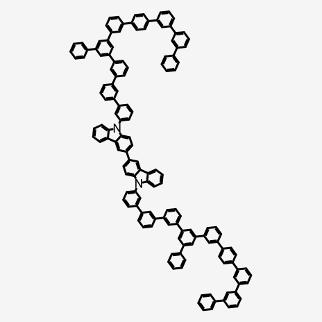 c1ccc(-c2cccc(-c3cccc(-c4ccc(-c5cccc(-c6cc(-c7ccccc7)cc(-c7cccc(-c8cccc(-c9cccc(-n%10c%11ccccc%11c%11cc(-c%12ccc%13c(c%12)c%12ccccc%12n%13-c%12cccc(-c%13cccc(-c%14cccc(-c%15cc(-c%16ccccc%16)cc(-c%16cccc(-c%17ccc(-c%18cccc(-c%19cccc(-c%20ccccc%20)c%19)c%18)cc%17)c%16)c%15)c%14)c%13)c%12)ccc%11%10)c9)c8)c7)c6)c5)cc4)c3)c2)cc1